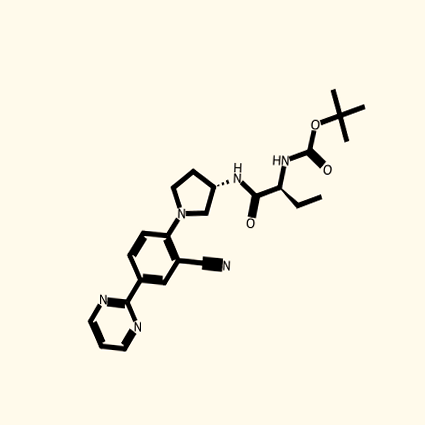 CC[C@H](NC(=O)OC(C)(C)C)C(=O)N[C@H]1CCN(c2ccc(-c3ncccn3)cc2C#N)C1